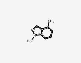 Cc1c[c]cc2c1cnn2C